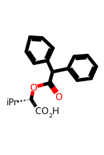 CC(C)[C@H](OC(=O)C(c1ccccc1)c1ccccc1)C(=O)O